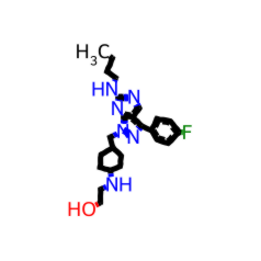 CCCCNc1ncc2c(-c3ccc(F)cc3)nn(CC3CCC(NCCO)CC3)c2n1